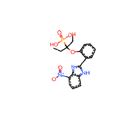 CCC(CC)(Oc1ccccc1-c1nc2c([N+](=O)[O-])cccc2[nH]1)P(=O)(O)O